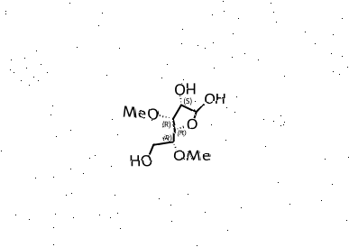 CO[C@H]1[C@@H]([C@@H](CO)OC)OC(O)[C@H]1O